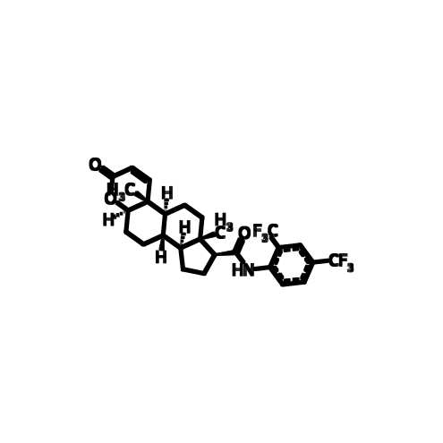 C[C@]12C=CC(=O)O[C@@H]1CC[C@@H]1[C@@H]2CC[C@]2(C)[C@@H](C(=O)Nc3ccc(C(F)(F)F)cc3C(F)(F)F)CC[C@@H]12